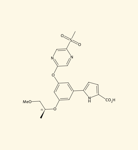 COC[C@H](C)Oc1cc(Oc2cnc(S(C)(=O)=O)cn2)cc(-c2ccc(C(=O)O)[nH]2)c1